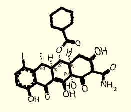 C[C@H]1c2c(I)ccc(O)c2C(=O)C2=C(O)[C@]3(O)C(=O)C(C(N)=O)C(O)C[C@@H]3[C@@H](OC(=O)C3CCCCC3)[C@@H]21